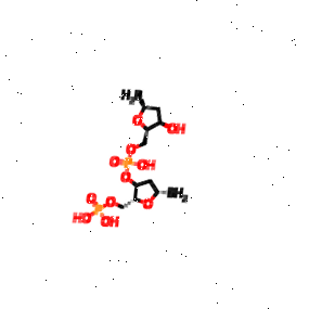 B[C@H]1CC(OP(=O)(O)OC[C@H]2O[C@@H](B)C[C@H]2O)[C@@H](COP(=O)(O)O)O1